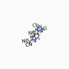 N#CC(C#N)=C1N=c2ccc(-c3nc(Cl)nc(Cl)n3)c(C#N)c2=N1